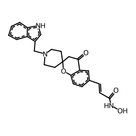 O=C(C=Cc1ccc2c(c1)C(=O)CC1(CCN(Cc3c[nH]c4ccccc34)CC1)O2)NO